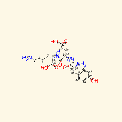 NCCCC[C@H](NC(=O)[C@H](CCC(=O)O)NC(=O)[C@@H](N)Cc1ccc(O)cc1)C(=O)O